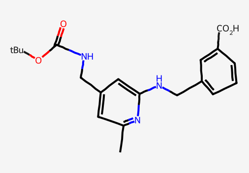 Cc1cc(CNC(=O)OC(C)(C)C)cc(NCc2cccc(C(=O)O)c2)n1